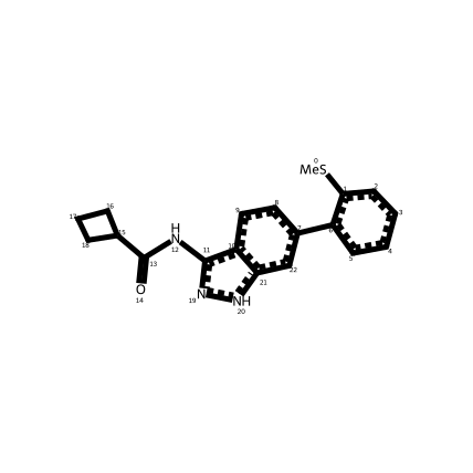 CSc1ccccc1-c1ccc2c(NC(=O)C3CCC3)n[nH]c2c1